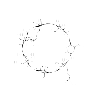 N[C@H](CSCC1C[C@@H]2O[C@@H]3C(CO)O[C@@H](O[C@H]4CC(O)[C@@H](OC4CO)O[C@@H]4C(CSC[C@@H](N)C(=O)O)O[C@@H](O[C@@H]5C(CO)O[C@H](O[C@@H]6C(CO)O[C@H](O[C@@H]7C(CO)C[C@H](O[C@H]1[C@H](O)C2O)C(O)[C@H]7O)C(O)[C@H]6O)C(O)[C@H]5O)C(O)[C@H]4O)C(O)[C@H]3O)C(=O)O